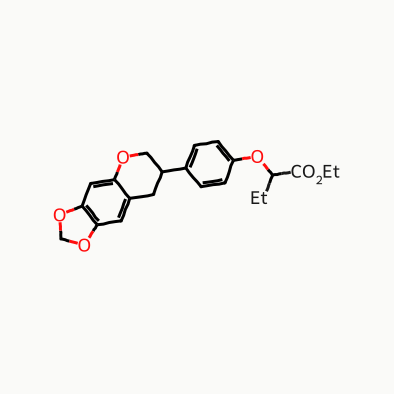 CCOC(=O)C(CC)Oc1ccc(C2COc3cc4c(cc3C2)OCO4)cc1